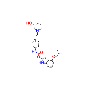 CC(C)COc1cccc2[nH]c(OC(=O)NC3CCN(CCN4CCC[C@@H](O)C4)CC3)cc12